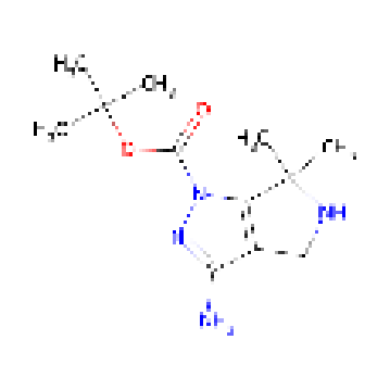 CC(C)(C)OC(=O)n1nc(N)c2c1C(C)(C)NC2